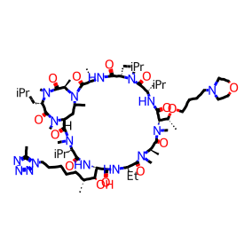 CC[C@@H]1NC(=O)[C@H]([C@H](O)[C@H](C)CCCCCn2nnnc2C)NC(=O)[C@H](C(C)C)N(C)C(=O)[C@@H]2CC(C)N(C(=O)[C@H](C)NC(=O)[C@H](CC(C)C)N(C)C(=O)[C@H](C(C)C)NC(=O)[C@H]([C@@H](C)OCCCCN3CCOCC3)N(C)C(=O)[C@@H](C)N(C)C1=O)[C@H](C)C(=O)N(C)[C@@H](CC(C)C)C(=O)N2C